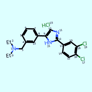 CCN(CC)Cc1cccc(-c2cnc(-c3ccc(Cl)c(Cl)c3)[nH]2)c1.Cl